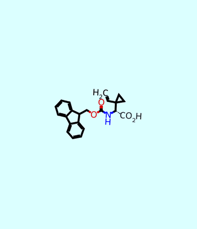 C=CC1([C@@H](NC(=O)OCC2c3ccccc3-c3ccccc32)C(=O)O)CC1